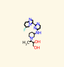 C=C([C@@H](O)CO)N1CCC[C@@H](Nc2ccnc(-c3cnc4ccc(F)cn34)n2)C1